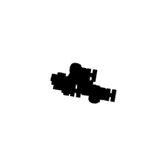 Cn1cc(C[C@@H](NC(=O)[C@@H](N)CCCC(=O)O)C(=O)O)c2ccccc21